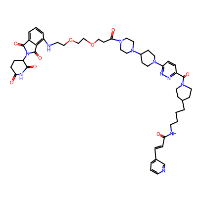 O=C(/C=C/c1cccnc1)NCCCCC1CCN(C(=O)c2ccc(N3CCC(N4CCN(C(=O)CCOCCOCCNc5cccc6c5C(=O)N(C5CCC(=O)NC5=O)C6=O)CC4)CC3)nn2)CC1